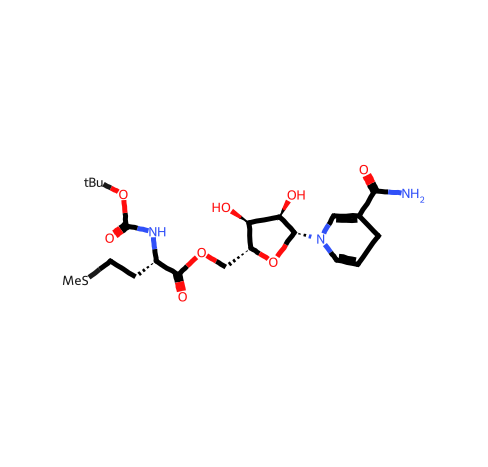 CSCC[C@H](NC(=O)OC(C)(C)C)C(=O)OC[C@H]1O[C@@H](N2C=CCC(C(N)=O)=C2)[C@H](O)[C@@H]1O